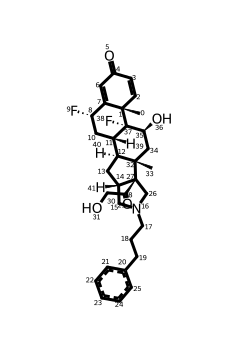 C[C@]12C=CC(=O)C=C1[C@@H](F)C[C@H]1[C@@H]3C[C@H]4CN(CCCc5ccccc5)C[C@@]4(C(=O)CO)[C@@]3(C)C[C@H](O)[C@@]12F